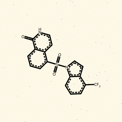 O=c1[nH]ccc2c(S(=O)(=O)n3ccc4c(C(F)(F)F)cccc43)cccc12